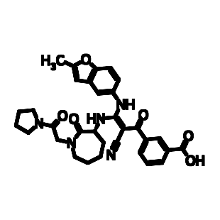 Cc1cc2cc(N/C(N[C@H]3CCCCN(CC(=O)N4CCCC4)C3=O)=C(/C#N)C(=O)c3cccc(C(=O)O)c3)ccc2o1